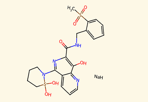 CS(=O)(=O)c1ccccc1CNC(=O)c1nc(N2CCCCS2(O)O)c2cccnc2c1O.[NaH]